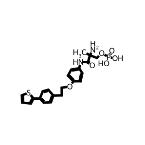 CC(N)(COP(=O)(O)O)C(=O)Nc1ccc(OCCc2ccc(-c3cccs3)cc2)cc1